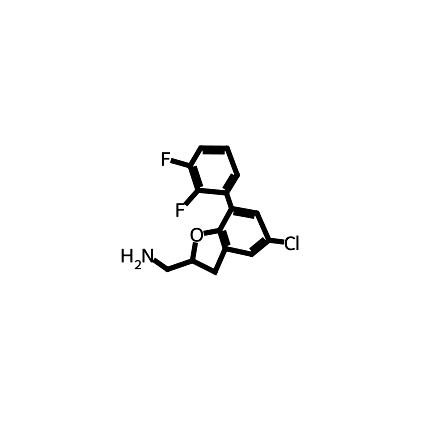 NCC1Cc2cc(Cl)cc(-c3cccc(F)c3F)c2O1